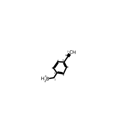 BCc1ccc(C#C)cc1